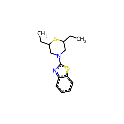 CCC1CN(c2nc3ccccc3s2)CC(CC)S1